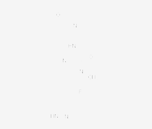 Cn1c(=O)c(Nc2ccccc2N2CCOCC2)nc2ccc(-c3cn[nH]c3)c(F)c21